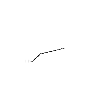 CCCCCCCCCCCCCC#CC#CCN